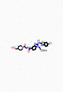 COCCn1c(Nc2nc3ccc(Cl)cc3s2)nc2cc(C(=O)NCC(=O)N3CCC(CO)CC3)ccc21